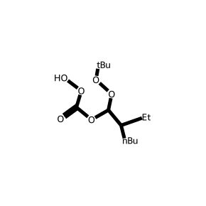 CCCCC(CC)C(OOC(C)(C)C)OC(=O)OO